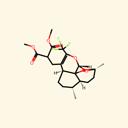 COC(=O)C(CC1=C(C(F)(F)F)O[C@@H]2O[C@]3(C)CC[C@H]4[C@H](C)CC[C@@H]1C24OO3)C(=O)OC